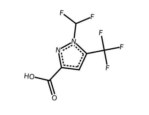 O=C(O)c1cc(C(F)(F)F)n(C(F)F)n1